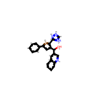 OC(c1cnc2ccccc2c1)c1cc(-c2ccccc2)sc1-c1nnc[nH]1